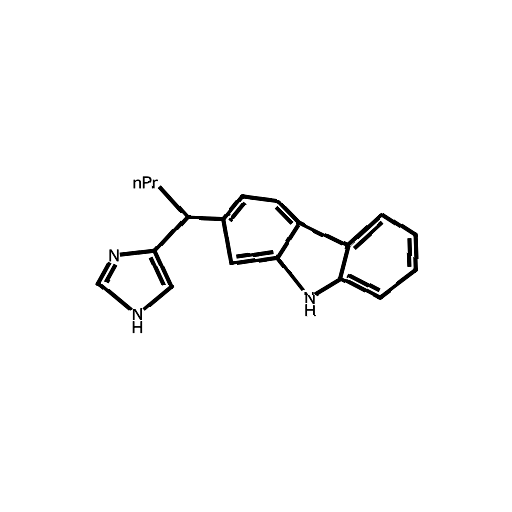 CCCC(c1ccc2c(c1)[nH]c1ccccc12)c1c[nH]cn1